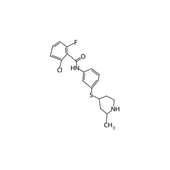 CC1CC(Sc2cccc(NC(=O)c3c(F)cccc3Cl)c2)CCN1